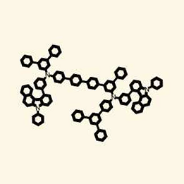 c1ccc(-c2cc(-c3ccccc3)cc(-c3ccc(N(c4cc(-c5ccccc5)cc(-c5ccc(-c6ccc(-c7ccc(N(c8cc(-c9ccccc9)cc(-c9ccccc9)c8)c8cccc(-c9cccc%10c9c9c%11ccccc%11ccc9n%10-c9ccccc9)c8)cc7)cc6)cc5)c4)c4cccc(-c5cccc6c5c5c7ccccc7ccc5n6-c5ccccc5)c4)cc3)c2)cc1